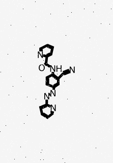 N#Cc1cc(/N=N/c2ccccn2)ccc1NC(=O)c1ccccn1